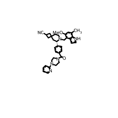 COc1cc(C)c2[nH]ccc2c1CN1CCC2(CC(C#N)C2)C[C@H]1c1ccc(C(=O)N2CCN(c3ccccn3)CC2)cc1